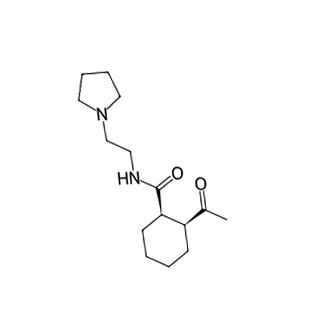 CC(=O)[C@H]1CCCC[C@H]1C(=O)NCCN1CCCC1